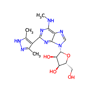 CNc1nc(-c2c(C)n[nH]c2C)nc2c1ncn2[C@@H]1O[C@H](CO)[C@@H](O)[C@H]1O